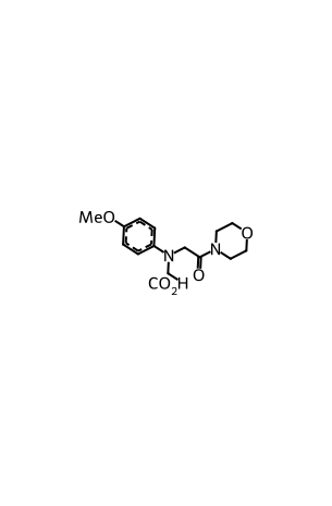 COc1ccc(N(CC(=O)O)CC(=O)N2CCOCC2)cc1